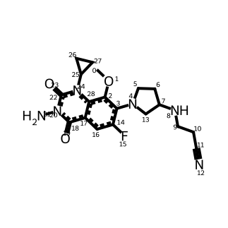 COc1c(N2CCC(NCCC#N)C2)c(F)cc2c(=O)n(N)c(=O)n(C3CC3)c12